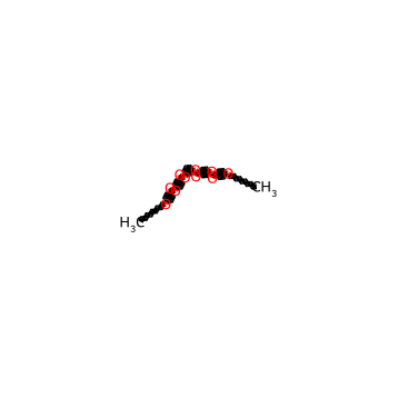 CCCCCCCCCCOc1ccc(C(=O)Oc2ccc(C(=O)Oc3cccc(OC(=O)c4ccc(OC(=O)c5ccc(OCCCCCCCCCC)cc5)cc4)c3)cc2)cc1